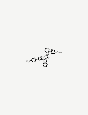 COc1ccc(C2(CNC(=O)C(C)(Cc3ccccc3)Nc3nc(-c4ccc([N+](=O)[O-])cc4)co3)CCCCC2)nc1